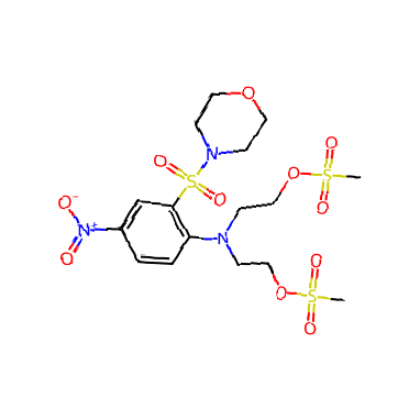 CS(=O)(=O)OCCN(CCOS(C)(=O)=O)c1ccc([N+](=O)[O-])cc1S(=O)(=O)N1CCOCC1